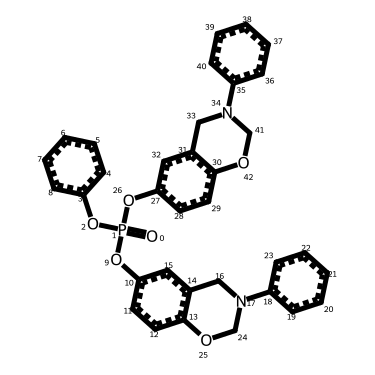 O=P(Oc1ccccc1)(Oc1ccc2c(c1)CN(c1ccccc1)CO2)Oc1ccc2c(c1)CN(c1ccccc1)CO2